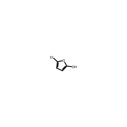 CCc1ccc(O)o1